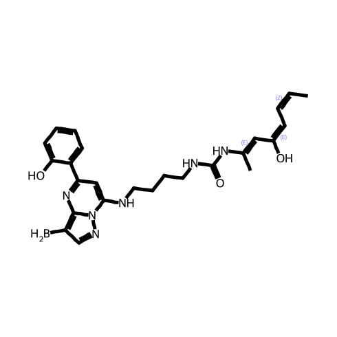 Bc1cnn2c(NCCCCNC(=O)N/C(C)=C/C(O)=C\C=C/C)cc(-c3ccccc3O)nc12